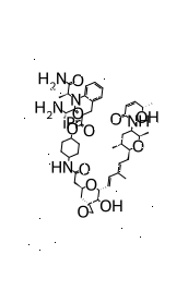 CC(/C=C/[C@H]1O[C@H](CC(=O)NC2CCC(OC(=O)CCc3ccccc3N(C(=O)[C@@H](N)C(C)C)[C@@H](C)C(N)=O)CC2)C[C@@]2(CO2)[C@@H]1O)=C\C[C@@H]1O[C@H](C)[C@H](NC(=O)/C=C\[C@H](C)O)C[C@@H]1C